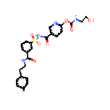 O=C(NCCO)Oc1ccc(C(=O)NS(=O)(=O)c2cccc(C(=O)NCCc3ccc(F)cc3)c2)cn1